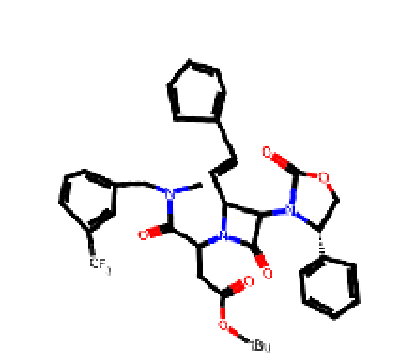 CN(Cc1cccc(C(F)(F)F)c1)C(=O)C(CC(=O)OC(C)(C)C)N1C(=O)C(N2C(=O)OC[C@@H]2c2ccccc2)C1C=Cc1ccccc1